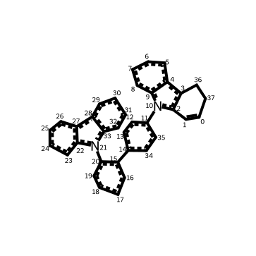 C1=Cc2c(c3ccccc3n2-c2ccc(-c3ccccc3-n3c4ccccc4c4ccccc43)cc2)CC1